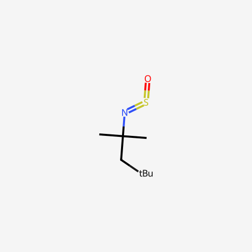 CC(C)(C)CC(C)(C)N=S=O